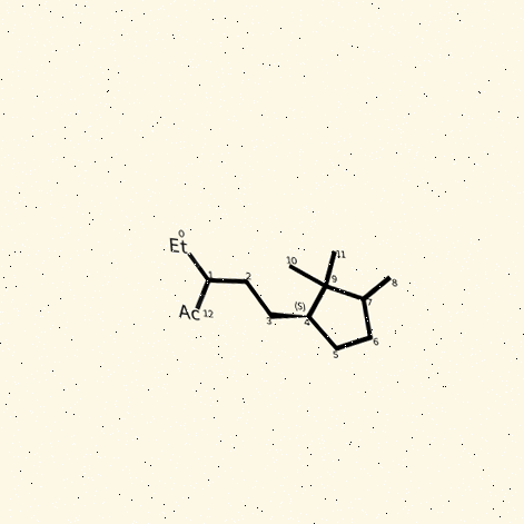 CCC(CC[C@@H]1CCC(C)C1(C)C)C(C)=O